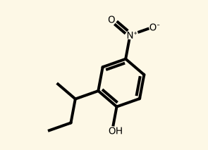 CCC(C)c1cc([N+](=O)[O-])ccc1O